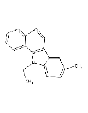 CCn1c2ccc(C)cc2c2ccc3ccccc3c21